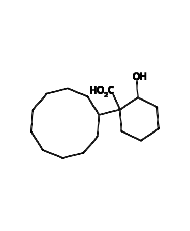 O=C(O)C1(C2CCCCCCCCC2)CCCCC1O